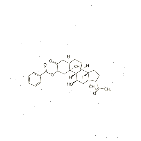 CC(=O)[C@H]1CC[C@H]2[C@@H]3CC[C@@H]4CC(=O)C(OC(=O)c5ccccc5)C[C@]4(C)[C@H]3[C@H](O)C[C@]12C